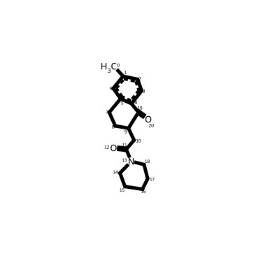 Cc1ccc2c(c1)CCC(CC(=O)N1CCCCC1)C2=O